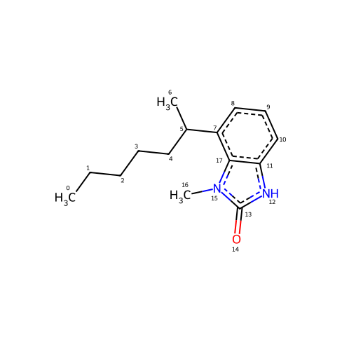 CCCCCC(C)c1cccc2[nH]c(=O)n(C)c12